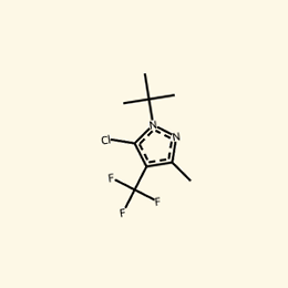 Cc1nn(C(C)(C)C)c(Cl)c1C(F)(F)F